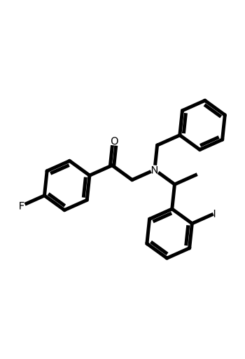 CC(c1ccccc1I)N(CC(=O)c1ccc(F)cc1)Cc1ccccc1